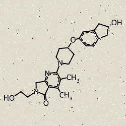 Cc1c(N2CCC(Oc3ccc4c(c3)C[C@H](O)C4)CC2)nc2c(c1C)C(=O)N(CCO)C2